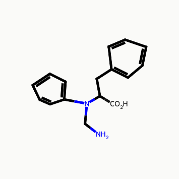 NCN(c1ccccc1)C(Cc1ccccc1)C(=O)O